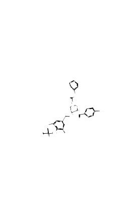 Cc1cc(CC[C@H]2CN(C(=O)Oc3ccccc3)C[C@@H]2C(=O)c2ccc(Br)cc2)cc(C)c1OC(C)(C)C(=O)O